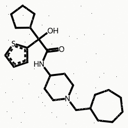 O=C(NC1CCN(CC2CCCCCC2)CC1)C(O)(c1cccs1)C1CCCC1